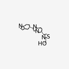 Cn1ccc2cc(-c3cn4cc(-c5csc(CO)n5)ccc4n3)ccc21